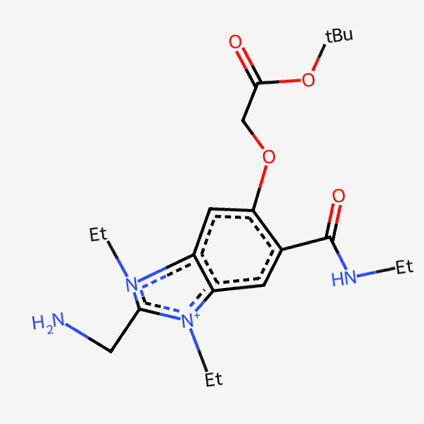 CCNC(=O)c1cc2c(cc1OCC(=O)OC(C)(C)C)n(CC)c(CN)[n+]2CC